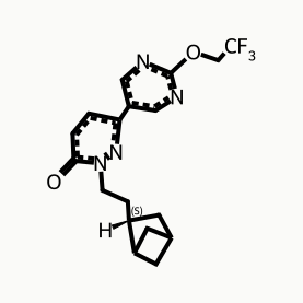 O=c1ccc(-c2cnc(OCC(F)(F)F)nc2)nn1CC[C@@H]1CC2CC1C2